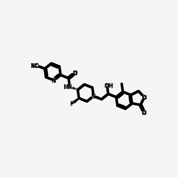 Cc1c(C(O)CN2CC[C@@H](NC(=O)c3ccc(C#N)cn3)[C@H](F)C2)ccc2c1COC2=O